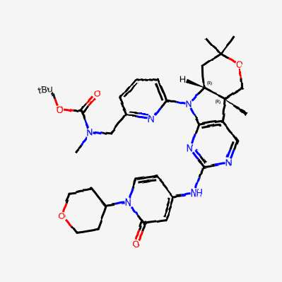 CN(Cc1cccc(N2c3nc(Nc4ccn(C5CCOCC5)c(=O)c4)ncc3[C@@]3(C)COC(C)(C)C[C@@H]23)n1)C(=O)OC(C)(C)C